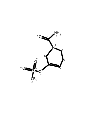 NC(=O)N1CCC=C(OS(=O)(=O)C(F)(F)F)C1